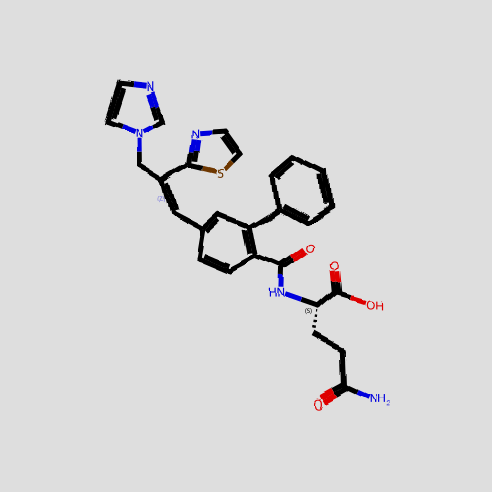 NC(=O)CC[C@H](NC(=O)c1ccc(/C=C(/Cn2ccnc2)c2nccs2)cc1-c1ccccc1)C(=O)O